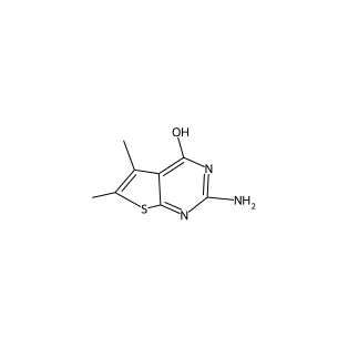 Cc1sc2nc(N)nc(O)c2c1C